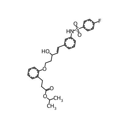 CC(C)OC(=O)CCc1ccccc1OCCC(O)C=Cc1cccc(NS(=O)(=O)c2ccc(F)cc2)c1